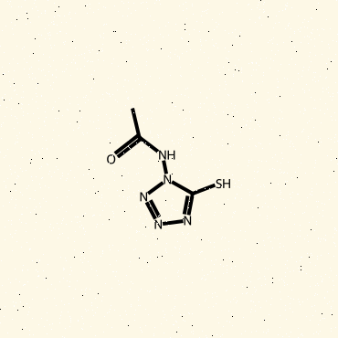 CC(=O)Nn1nnnc1S